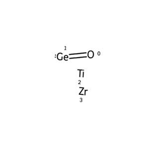 [O]=[Ge].[Ti].[Zr]